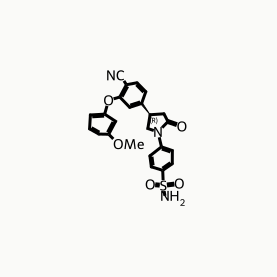 COc1cccc(Oc2cc([C@H]3CC(=O)N(c4ccc(S(N)(=O)=O)cc4)C3)ccc2C#N)c1